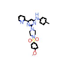 COc1ccc(S(=O)(=O)N2CCN(c3nc(Nc4ccc(C)cc4)cc(-c4ccccn4)n3)CC2)cc1